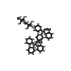 CCCCCCCC[P+](c1ccccc1)(c1ccccc1)c1ccccc1.CCCCCCCC[P+](c1ccccc1)(c1ccccc1)c1ccccc1.[Br][Mn-]([I])([I])[I].[Br][Mn-]([I])([I])[I]